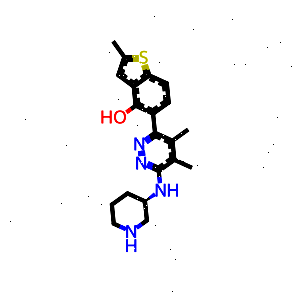 Cc1cc2c(O)c(-c3nnc(N[C@@H]4CCCNC4)c(C)c3C)ccc2s1